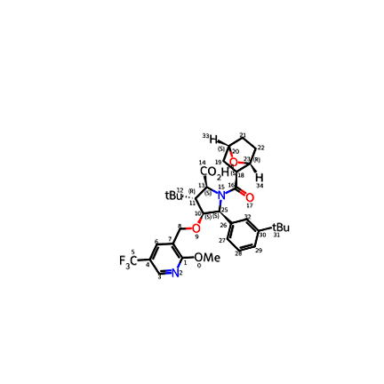 COc1ncc(C(F)(F)F)cc1CO[C@H]1[C@H](C(C)(C)C)[C@@H](C(=O)O)N(C(=O)[C@H]2C[C@@H]3CC[C@H]2O3)[C@H]1c1cccc(C(C)(C)C)c1